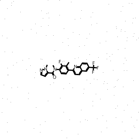 Cc1c(-c2ccc3cc(C(F)(F)F)ccc3n2)ccc(N(C)C(=O)c2ccnn2C)c1F